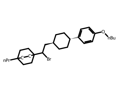 CCCCOc1ccc([C@H]2CC[C@H](CC(Br)C34CCC(CCC)(CC3)CC4)CC2)cc1